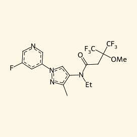 CCN(C(=O)CC(OC)(C(F)(F)F)C(F)(F)F)c1cn(-c2cncc(F)c2)nc1C